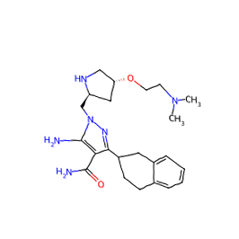 CN(C)CCO[C@H]1CN[C@H](Cn2nc(C3CCc4ccccc4C3)c(C(N)=O)c2N)C1